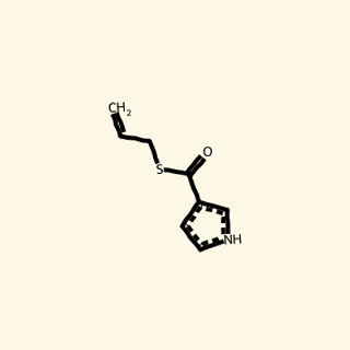 C=CCSC(=O)c1cc[nH]c1